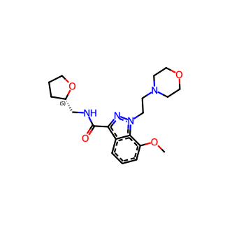 COc1cccc2c(C(=O)NC[C@@H]3CCCO3)nn(CCN3CCOCC3)c12